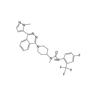 CN(C(=O)Nc1ccc(F)cc1C(F)(F)F)C1CCN(c2nnc(-c3ccnn3C)c3ccccc23)CC1